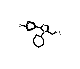 NCC1=CSC(c2ccc(Cl)cc2)N1C1CCCCCC1